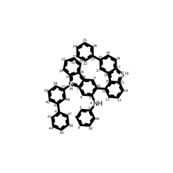 c1ccc(Nc2cc3c(cc2-c2cccc4sc5ccc(-c6ccccc6)cc5c24)c2ccccc2n3-c2cccc(-c3ccccc3)c2)cc1